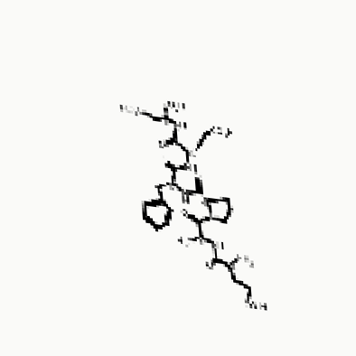 C[C@H](NC(=O)[C@@H](N)CCC(=O)O)C(=O)N1CCC[C@H]1C(=O)N[C@@H](Cc1ccccc1)C(=O)N[C@@H](CCC(=O)O)C(=O)N[C@@H](CC(=O)O)C(=O)O